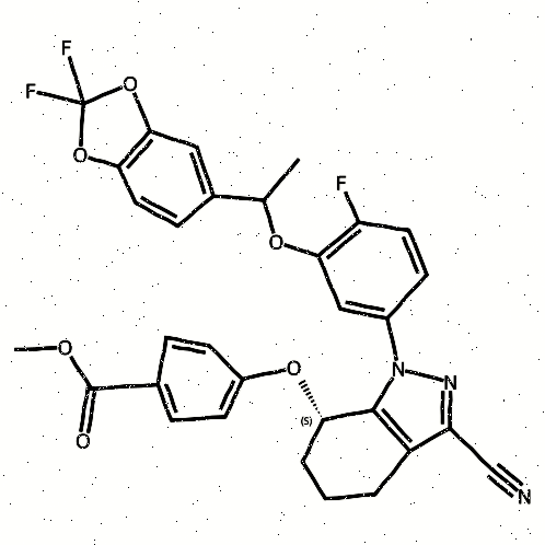 COC(=O)c1ccc(O[C@H]2CCCc3c(C#N)nn(-c4ccc(F)c(OC(C)c5ccc6c(c5)OC(F)(F)O6)c4)c32)cc1